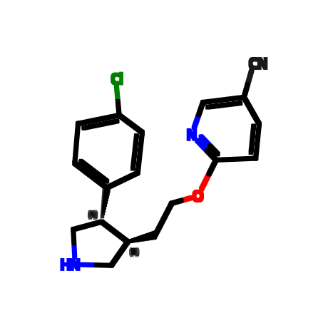 N#Cc1ccc(OCC[C@H]2CNC[C@@H]2c2ccc(Cl)cc2)nc1